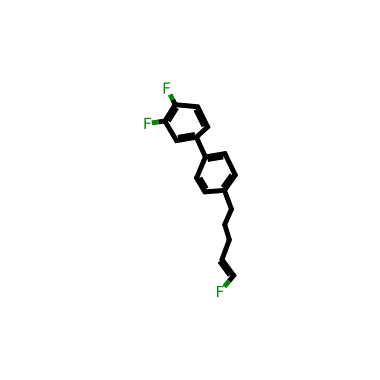 F/C=C/CCCc1ccc(-c2ccc(F)c(F)c2)cc1